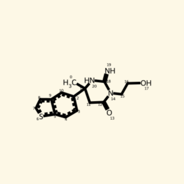 CC1(c2ccc3sccc3c2)CC(=O)N(CCO)C(=N)N1